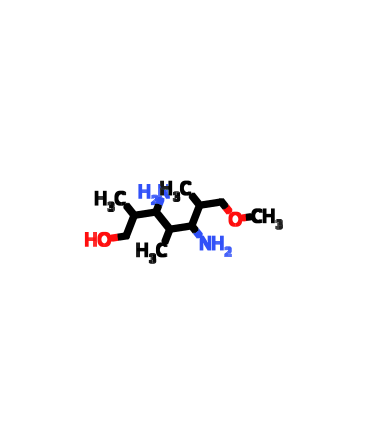 COCC(C)C(N)C(C)C(N)C(C)CO